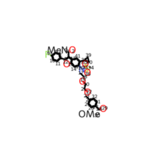 CNC(=O)c1c(-c2ccc(F)cc2)oc2cc(N(CCOCCOCc3ccc(C(=O)OC)cc3)S(C)(=O)=O)c(C3CC3)cc12